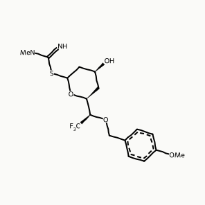 CNC(=N)SC1C[C@@H](O)C[C@@H]([C@@H](OCc2ccc(OC)cc2)C(F)(F)F)O1